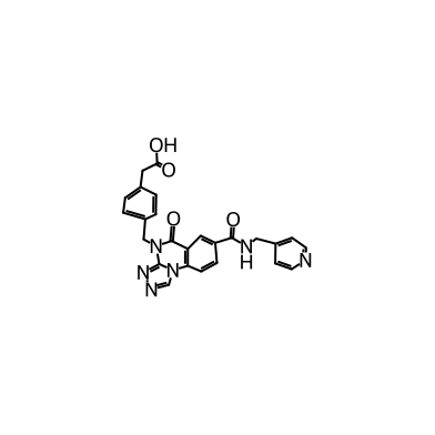 O=C(O)Cc1ccc(Cn2c(=O)c3cc(C(=O)NCc4ccncc4)ccc3n3cnnc23)cc1